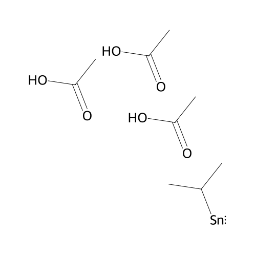 CC(=O)O.CC(=O)O.CC(=O)O.C[CH](C)[Sn]